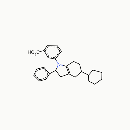 O=C(O)c1cccc(N2C3=C(CC(C4CCCCC4)CC3)CC2c2ccccc2)c1